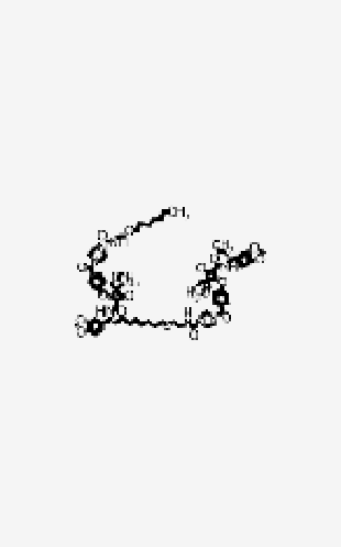 CCCCCCCOCCNC(=O)N1CCN(C(=O)c2ccc(O[C@@H]3C(C(=O)N[C@H](CCCCCCCCOCCNC(=O)N4CCN(C(=O)c5ccc(O[C@@H]6C(C(=O)N[C@H](CCC)c7ccc8c(c7)OCO8)C(=O)C6(CC)CC)cc5)CC4)c4ccc5c(c4)OCO5)C(=O)C3(CC)CC)cc2)CC1